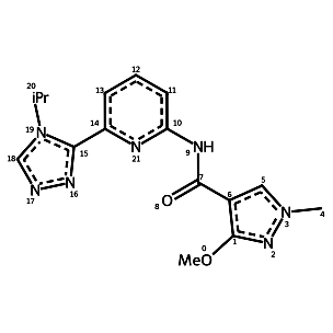 COc1nn(C)cc1C(=O)Nc1cccc(-c2nncn2C(C)C)n1